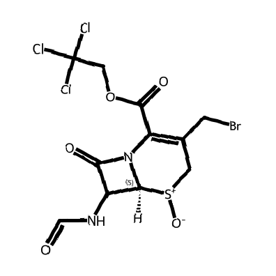 O=CNC1C(=O)N2C(C(=O)OCC(Cl)(Cl)Cl)=C(CBr)C[S+]([O-])[C@@H]12